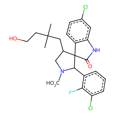 CC(C)(CCO)CC1CN(C(=O)O)C(c2cccc(Cl)c2F)C12C(=O)Nc1cc(Cl)ccc12